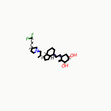 C=C1/C(=C\C=C2/CCC[C@]3(C)[C@@H](C(C)CN4CC[C@@H](CCC(F)F)C4)CC[C@@H]23)C[C@@H](O)C[C@@H]1O